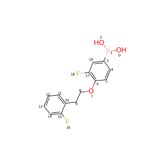 OB(O)c1ccc(OCCc2ccccc2F)c(F)c1